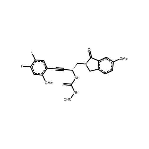 COc1ccc2c(c1)C(=O)N(C[C@@H](C#Cc1cc(F)c(F)cc1OC)NC(=O)NC=O)C2